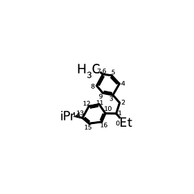 CCC(Cc1ccc(C)cc1)c1ccc(C(C)C)cc1